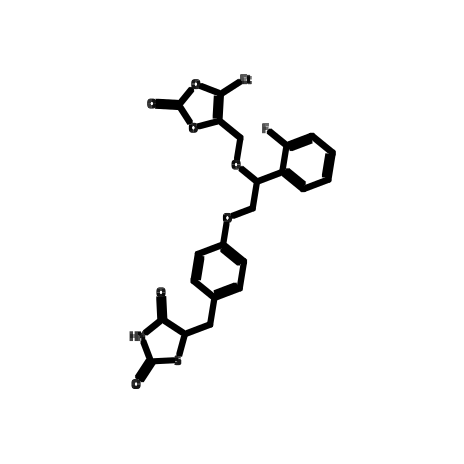 CCc1oc(=O)oc1COC(COc1ccc(CC2SC(=O)NC2=O)cc1)c1ccccc1F